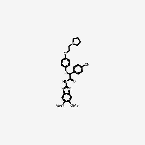 COc1cc2nc(NC(=O)C(Oc3ccc(OCCN4CCCC4)cc3)c3ccc(C#N)cc3)sc2cc1OC